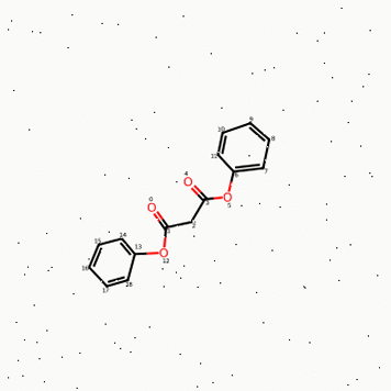 O=C([CH]C(=O)Oc1ccccc1)Oc1ccccc1